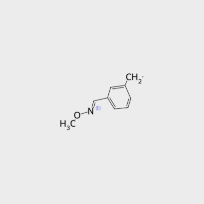 [CH2]c1cccc(/C=N/OC)c1